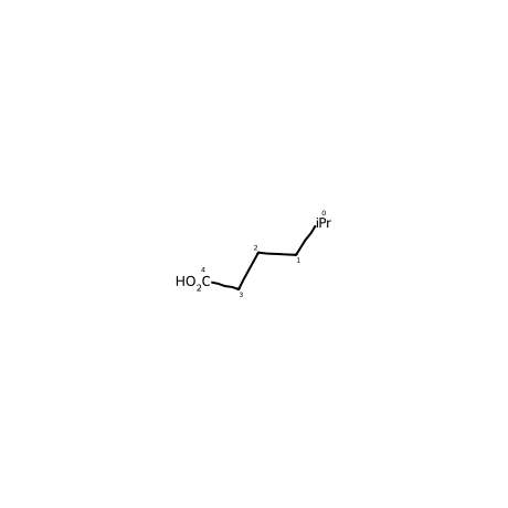 [CH2]C(C)CCCC(=O)O